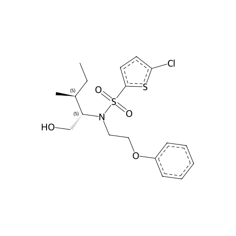 CC[C@H](C)[C@@H](CO)N(CCOc1ccccc1)S(=O)(=O)c1ccc(Cl)s1